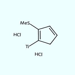 CSC1=[C]([Ti])CC=C1.Cl.Cl